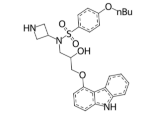 CCCCOc1ccc(S(=O)(=O)N(CC(O)COc2cccc3[nH]c4ccccc4c23)C2CNC2)cc1